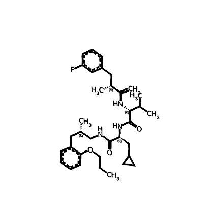 C=C(N[C@@H](C(=O)N[C@@H](CC1CC1)C(=O)NC[C@@H](C)Cc1ccccc1OCCC)C(C)C)[C@H](C)Cc1cccc(F)c1